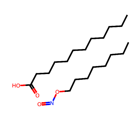 CCCCCCCCCCCC(=O)O.CCCCCCCCON=O